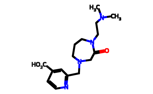 CN(C)CCN1CCCN(Cc2cc(C(=O)O)ccn2)CC1=O